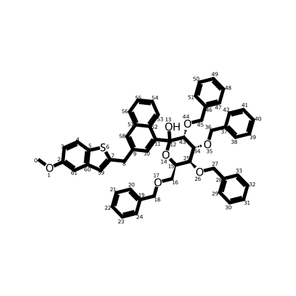 COc1ccc2sc(Cc3cc(C4(O)O[C@H](COCc5ccccc5)[C@H](OCc5ccccc5)[C@@H](OCc5ccccc5)[C@H]4OCc4ccccc4)c4ccccc4c3)cc2c1